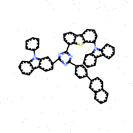 c1ccc(-n2c3ccccc3c3ccc(-c4nc(-c5ccc(-c6ccc7ccccc7c6)cc5)nc(-c5cccc6c5sc5c(-n7c8ccccc8c8ccccc87)cccc56)n4)cc32)cc1